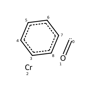 [C]=O.[Cr].c1ccccc1